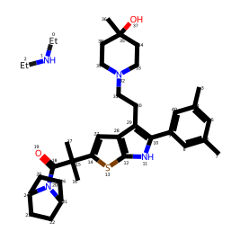 CCNCC.Cc1cc(C)cc(-c2[nH]c3sc(C(C)(C)C(=O)N4C5CCC4CC5)cc3c2CCN2CCC(C)(O)CC2)c1